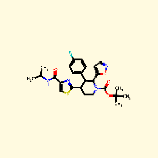 CC(C)NC(=O)c1csc(C2CCN(C(=O)OC(C)(C)C)C(c3ccno3)C2c2ccc(F)cc2)n1